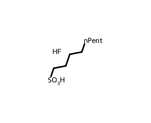 CCCCCCCCCS(=O)(=O)O.F